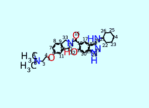 CN(C)CCOc1ccc2c(c1)CN(C(=O)c1cc3c(NC4CCCCC4)n[nH]c3cc1O)C2